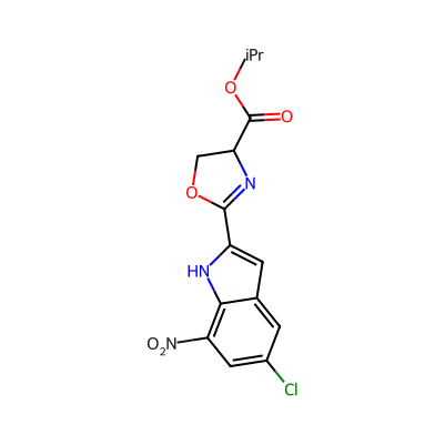 CC(C)OC(=O)C1COC(c2cc3cc(Cl)cc([N+](=O)[O-])c3[nH]2)=N1